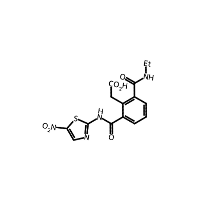 CCNC(=O)c1cccc(C(=O)Nc2ncc([N+](=O)[O-])s2)c1CC(=O)O